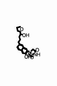 O=C1CN(c2cc3cc(CCCC(O)C4CCCO4)ccc3cc2O)S(=O)(=O)N1